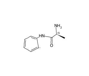 C[C@H](N)C(=O)Nc1[c]cccc1